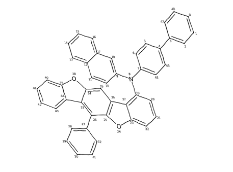 c1ccc(-c2ccc(N(c3ccc4ccccc4c3)c3cccc4oc5c(-c6ccccc6)c6c(cc5c34)oc3ccccc36)cc2)cc1